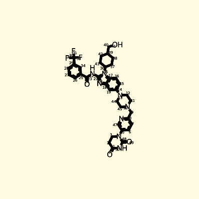 O=C1CCN(c2ccc(CN3CCN(c4ccc5c(c4)nc(NC(=O)c4cccc(C(F)(F)F)c4)n5C4CCC(CO)CC4)CC3)nc2)C(=O)N1